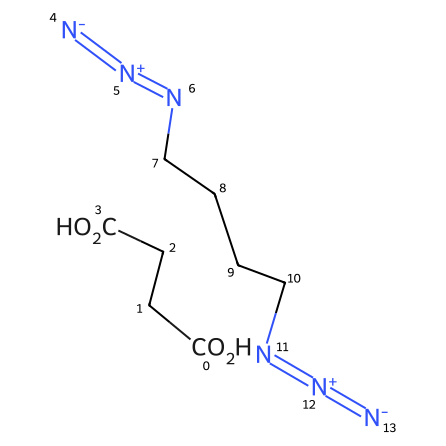 O=C(O)CCC(=O)O.[N-]=[N+]=NCCCCN=[N+]=[N-]